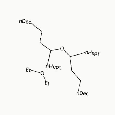 CCCCCCCCCCCCC(CCCCCCC)OC(CCCCCCC)CCCCCCCCCCCC.CCOCC